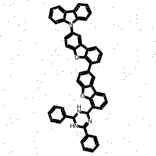 c1ccc(C2=NC(c3cccc4c3oc3ccc(-c5cccc6c5oc5ccc(-n7c8ccccc8c8ccccc87)cc56)cc34)NC(c3ccccc3)N2)cc1